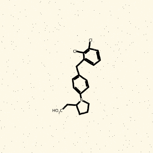 O=C(O)CC1CCCN1c1ccc(Cc2cccc(Cl)c2Cl)cc1